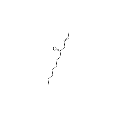 CC=CCC(=O)CCCCCCC